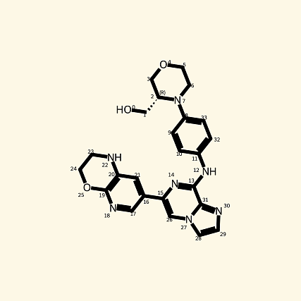 OC[C@@H]1COCCN1c1ccc(Nc2nc(-c3cnc4c(c3)NCCO4)cn3ccnc23)cc1